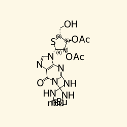 CCCCNC1(NCCCC)Nc2nc3c(ncn3[C@@H]3S[C@H](CO)[C@@H](OC(C)=O)[C@H]3OC(C)=O)c(=O)n21